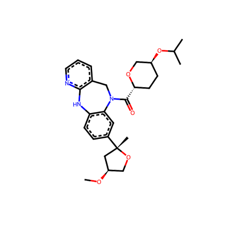 CO[C@@H]1CO[C@@](C)(c2ccc3c(c2)N(C(=O)[C@H]2CC[C@H](OC(C)C)CO2)Cc2cccnc2N3)C1